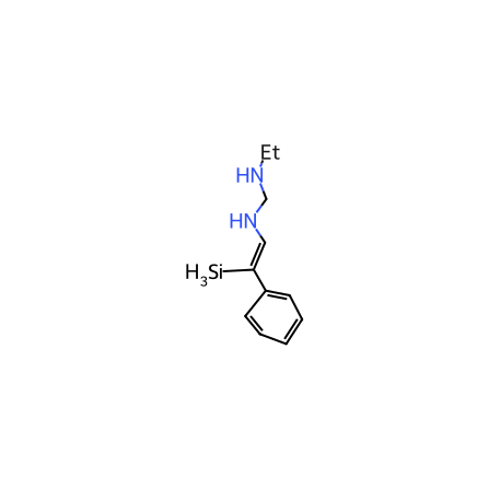 CCNCNC=C([SiH3])c1ccccc1